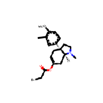 CCC(C)CC(=O)OC1=CC[C@@]2(c3ccc(OC)c(C)c3)CCN(C)[C@H]2C1